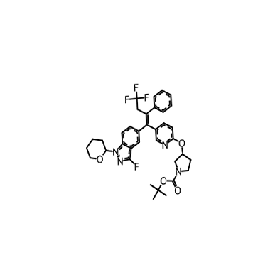 CC(C)(C)OC(=O)N1CC[C@H](Oc2ccc(/C(=C(/CC(F)(F)F)c3ccccc3)c3ccc4c(c3)c(F)nn4C3CCCCO3)cn2)C1